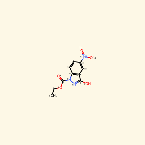 CCOC(=O)n1nc(O)c2cc([N+](=O)[O-])ccc21